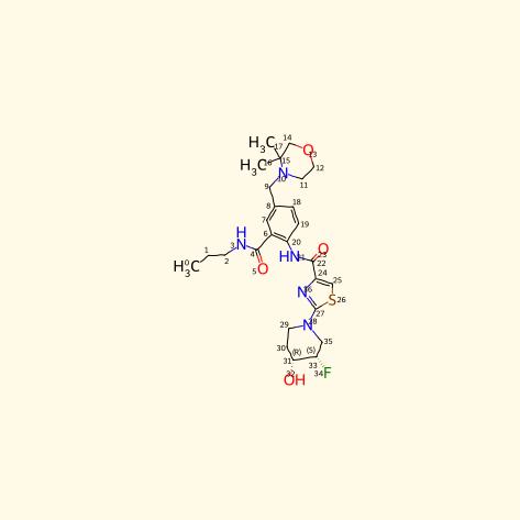 CCCNC(=O)c1cc(CN2CCOCC2(C)C)ccc1NC(=O)c1csc(N2CC[C@@H](O)[C@@H](F)C2)n1